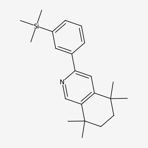 CC1(C)CCC(C)(C)c2cc(-c3cccc([Si](C)(C)C)c3)ncc21